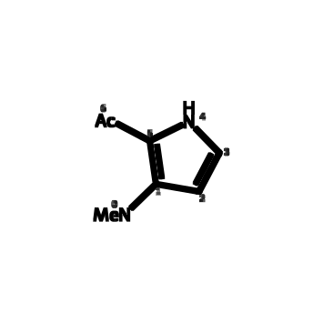 CNc1cc[nH]c1C(C)=O